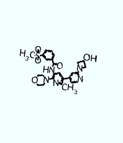 Cc1nc(N2CCOCC2)c(NC(=O)c2cccc(S(C)(=O)=O)c2)cc1-c1ccnc(N2CC(O)C2)c1